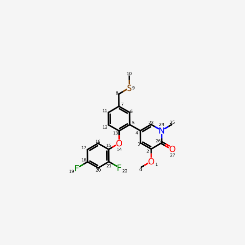 COc1cc(-c2cc(CSC)ccc2Oc2ccc(F)cc2F)cn(C)c1=O